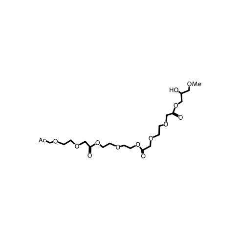 COCC(O)COC(=O)COCCOCC(=O)OCCOCCOC(=O)COCCOCC(C)=O